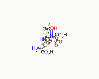 CC(=O)C=O.CC(O)C(=O)SCC(NC(=O)CCC(N)C(=O)O)C(=O)NCC(=O)O